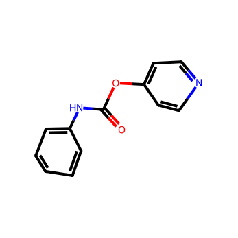 O=C(Nc1ccccc1)Oc1ccncc1